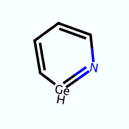 C1=C[N]=[GeH][CH]=C1